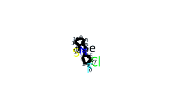 Fc1ccc(-n2[se]c3ccccc3c2=S)cc1Cl